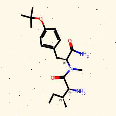 CC[C@H](C)[C@H](N)C(=O)N(C)[C@@H](Cc1ccc(OC(C)(C)C)cc1)C(N)=O